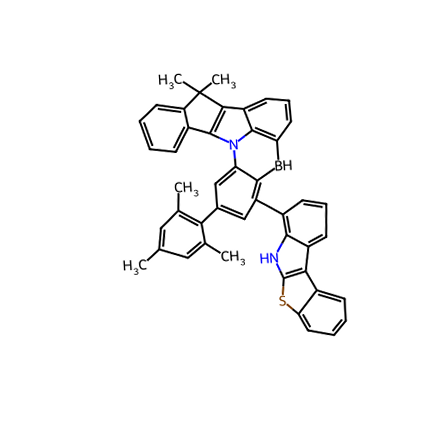 Cc1cc(C)c(-c2cc(-c3cccc4c3[nH]c3sc5ccccc5c34)c3c(c2)-n2c4c(c5cccc(c52)B3)C(C)(C)c2ccccc2-4)c(C)c1